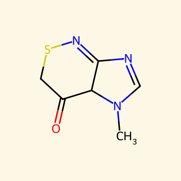 CN1C=NC2=NSCC(=O)C21